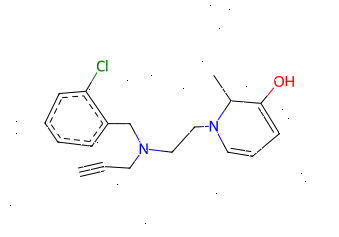 C#CCN(CCN1C=CC=C(O)C1C)Cc1ccccc1Cl